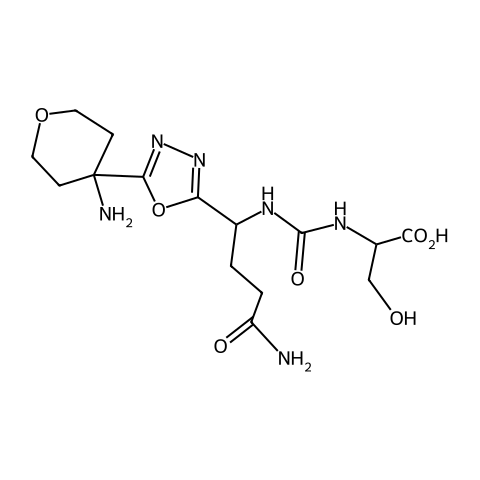 NC(=O)CCC(NC(=O)NC(CO)C(=O)O)c1nnc(C2(N)CCOCC2)o1